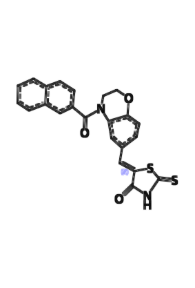 O=C1NC(=S)S/C1=C\c1ccc2c(c1)N(C(=O)c1ccc3ccccc3c1)CCO2